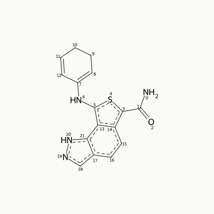 NC(=O)c1sc(NC2=CCCC=C2)c2c1ccc1cn[nH]c12